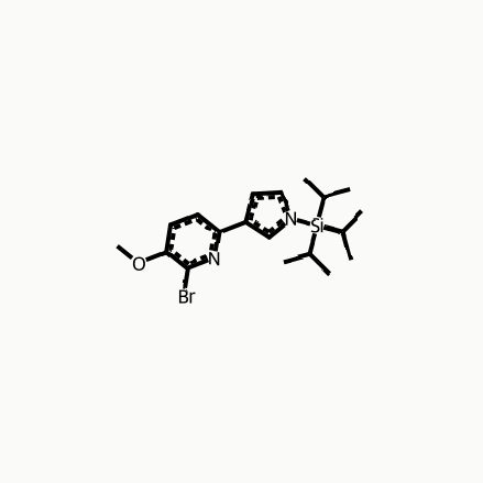 COc1ccc(-c2ccn([Si](C(C)C)(C(C)C)C(C)C)c2)nc1Br